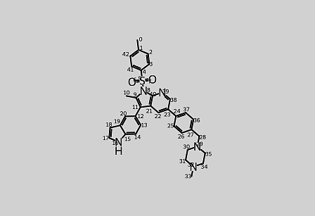 Cc1ccc(S(=O)(=O)n2c(C)c(-c3ccc4[nH]ccc4c3)c3cc(-c4ccc(CN5CCN(C)CC5)cc4)cnc32)cc1